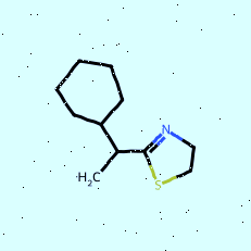 [CH2]C(C1=NCCS1)C1CCCCC1